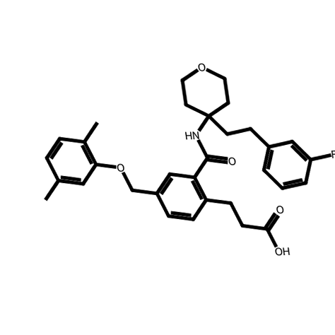 Cc1ccc(C)c(OCc2ccc(CCC(=O)O)c(C(=O)NC3(CCc4cccc(F)c4)CCOCC3)c2)c1